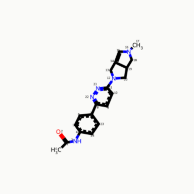 CC(=O)Nc1ccc(-c2ccc(N3CC4=CN(C)CC4C3)nn2)cc1